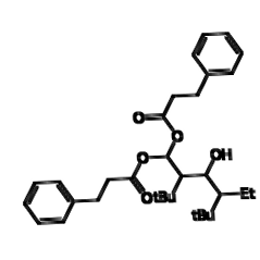 CCC(C(O)C(C(OC(=O)CCc1ccccc1)OC(=O)CCc1ccccc1)C(C)(C)C)C(C)(C)C